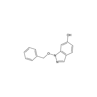 Oc1ccc2cnn(OCc3ccccc3)c2c1